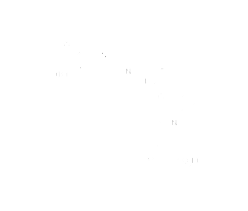 CCOC(=O)c1cn(C2CC2)c2c(OC(F)F)c(C3=CC4CN(CC(=O)OC(C)(C)C)CCN4C3)ccc2c1=O